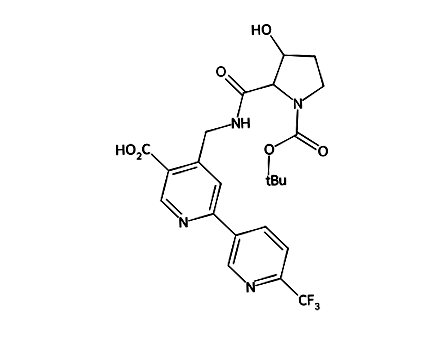 CC(C)(C)OC(=O)N1CCC(O)C1C(=O)NCc1cc(-c2ccc(C(F)(F)F)nc2)ncc1C(=O)O